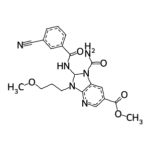 COCCCN1c2ncc(C(=O)OC)cc2N(C(N)=O)C1NC(=O)c1cccc(C#N)c1